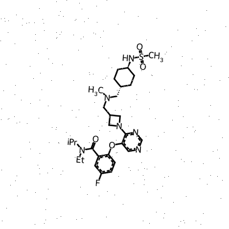 CCN(C(=O)c1cc(F)ccc1Oc1cncnc1N1CC(CN(C)C[C@H]2CC[C@H](NS(C)(=O)=O)CC2)C1)C(C)C